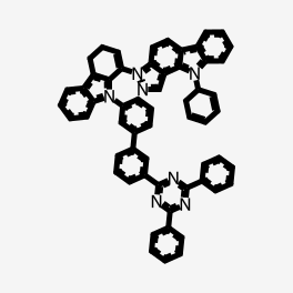 C1=CCC(n2c3ccccc3c3ccc4c(cnn4C4=CCCc5c4n(-c4cccc(-c6cccc(-c7nc(-c8ccccc8)nc(-c8ccccc8)n7)c6)c4)c4ccccc54)c32)C=C1